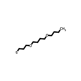 CCCCOCCCCOCCC[S]